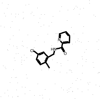 Cc1ccc(Cl)cc1CNC(=O)c1ccccn1